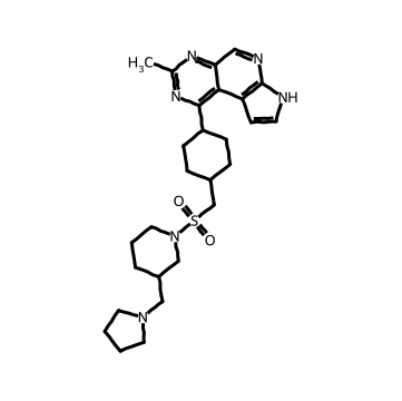 Cc1nc(C2CCC(CS(=O)(=O)N3CCCC(CN4CCCC4)C3)CC2)c2c(cnc3[nH]ccc32)n1